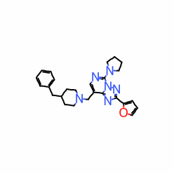 c1ccc(CC2CCN(Cc3cnc(N4CCCC4)n4nc(-c5ccco5)nc34)CC2)cc1